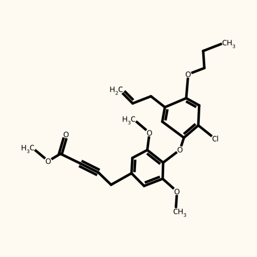 C=CCc1cc(Oc2c(OC)cc(CC#CC(=O)OC)cc2OC)c(Cl)cc1OCCC